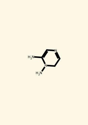 NC1=CN=CCN1N